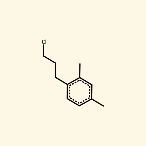 Cc1ccc(CCCCl)c(C)c1